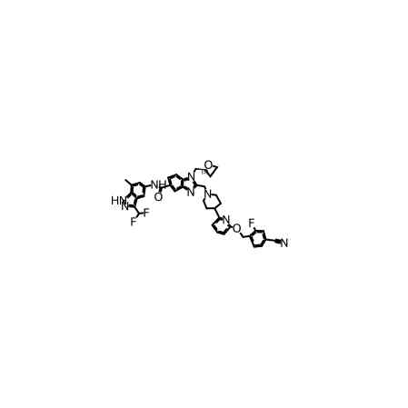 Cc1cc(NC(=O)c2ccc3c(c2)nc(CN2CCC(c4cccc(OCc5ccc(C#N)cc5F)n4)CC2)n3C[C@@H]2CCO2)cc2c(C(F)F)n[nH]c12